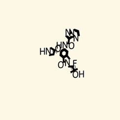 CC(C)(O)[C@H](F)CN1Cc2cc(NC(=O)c3cnn4cccnc34)c(O[C@@H]3CCNC3)cc2C1=O